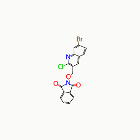 O=C1c2ccccc2C(=O)N1OCc1cc2ccc(Br)cc2nc1Cl